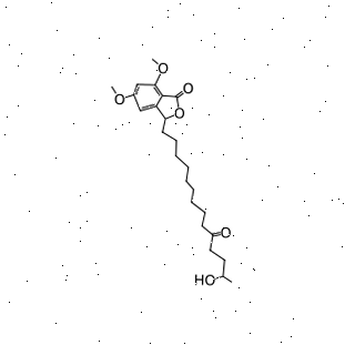 COc1cc(OC)c2c(c1)C(CCCCCCCCCC(=O)CCC(C)O)OC2=O